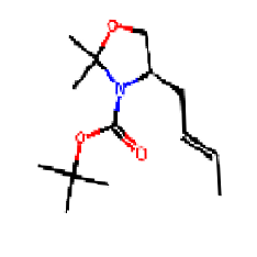 C/C=C/C[C@@H]1COC(C)(C)N1C(=O)OC(C)(C)C